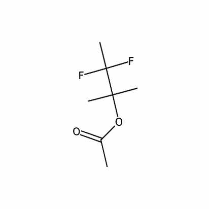 CC(=O)OC(C)(C)C(C)(F)F